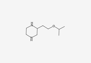 CC(C)OCCC1CNCCN1